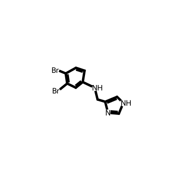 Brc1ccc(NCc2c[nH]cn2)cc1Br